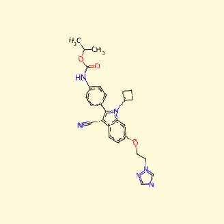 CC(C)OC(=O)Nc1ccc(-c2c(C#N)c3ccc(OCCn4cncn4)cc3n2C2CCC2)cc1